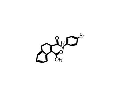 O=C(O)C1=C(C(=O)Nc2ccc(Br)cc2)CCc2ccccc21